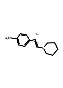 Cl.O=[N+]([O-])c1ccc(/C=C/N2CCCCC2)cc1